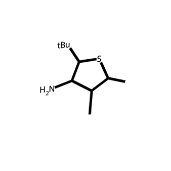 CC1SC(C(C)(C)C)C(N)C1C